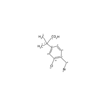 CC(C)(C(=O)O)c1ccc(CBr)c(Cl)c1